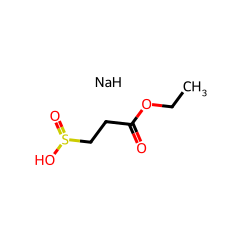 CCOC(=O)CCS(=O)O.[NaH]